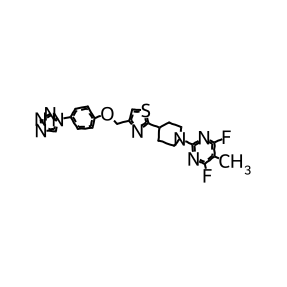 Cc1c(F)nc(N2CCC(c3nc(COc4ccc(-n5cnnn5)cc4)cs3)CC2)nc1F